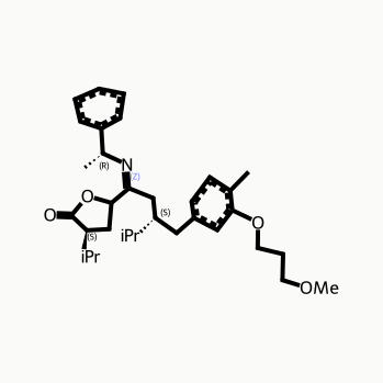 COCCCOc1cc(C[C@@H](C/C(=N/[C@H](C)c2ccccc2)C2C[C@@H](C(C)C)C(=O)O2)C(C)C)ccc1C